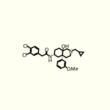 COc1cccc([C@@]23CCN(CC4CC4)C[C@@]2(O)CC[C@@H](NC(=O)Cc2ccc(Cl)c(Cl)c2)C3)c1